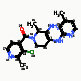 Cc1ccnc(NC2=C(N)C(C)N(C(=O)c3ccnc(C(F)(F)F)c3Cl)CC2)c1